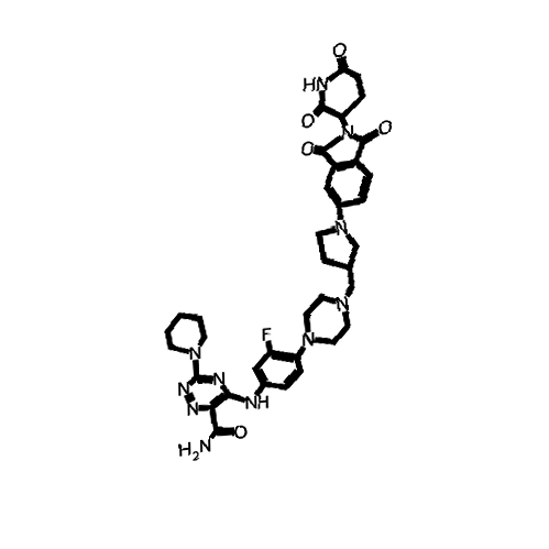 NC(=O)c1nnc(N2CCCCC2)nc1Nc1ccc(N2CCN(CC3CCN(c4ccc5c(c4)C(=O)N(C4CCC(=O)NC4=O)C5=O)C3)CC2)c(F)c1